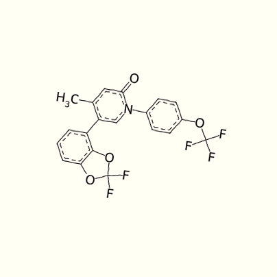 Cc1cc(=O)n(-c2ccc(OC(F)(F)F)cc2)cc1-c1cccc2c1OC(F)(F)O2